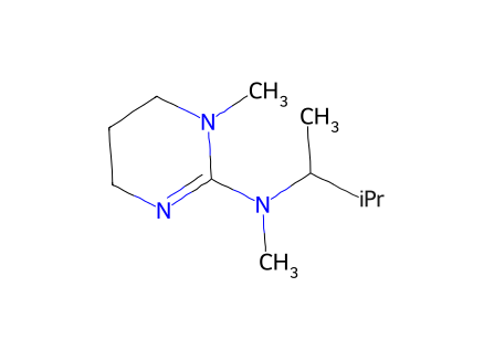 CC(C)C(C)N(C)C1=NCCCN1C